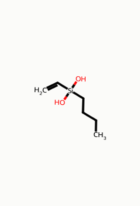 C=C[Si](O)(O)CCCC